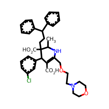 CC1NC(COCCN2CCOCC2)=C(C(=O)O)C(c2cccc(Cl)c2)C1(CCC(c1ccccc1)c1ccccc1)C(=O)O